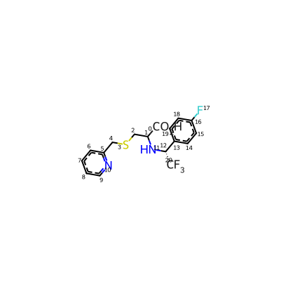 O=C(O)C(CSCc1ccccn1)N[C@H](c1ccc(F)cc1)C(F)(F)F